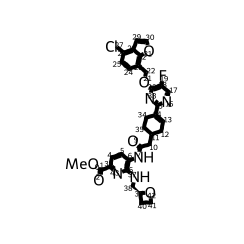 COC(=O)c1ccc(NC(=O)CC2CC=C(c3ncc(F)c(OCc4ccc(Cl)c5ccoc45)n3)CC2)c(NC[C@@H]2CCO2)n1